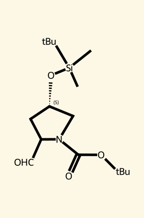 CC(C)(C)OC(=O)N1C[C@@H](O[Si](C)(C)C(C)(C)C)CC1C=O